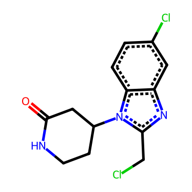 O=C1CC(n2c(CCl)nc3cc(Cl)ccc32)CCN1